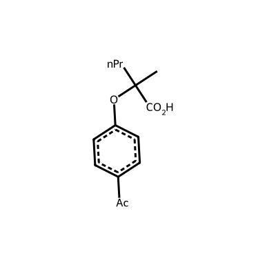 CCCC(C)(Oc1ccc(C(C)=O)cc1)C(=O)O